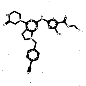 CCOC(=O)c1sc(Nc2nc(N3CCNC(=O)C3)c3c(n2)N(Cc2ccc(C#N)cc2)CC3)nc1C